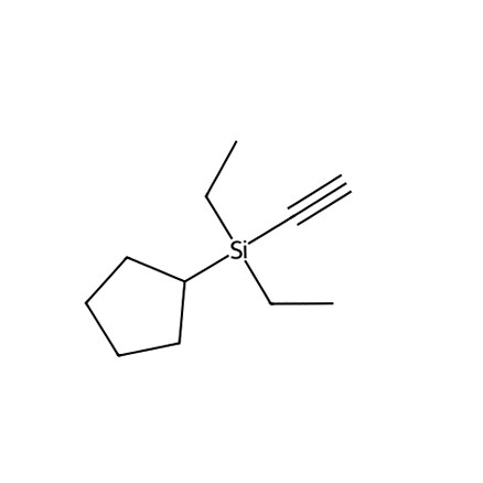 C#C[Si](CC)(CC)C1CCCC1